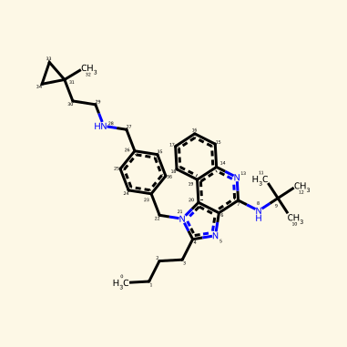 CCCCc1nc2c(NC(C)(C)C)nc3ccccc3c2n1Cc1ccc(CNCCC2(C)CC2)cc1